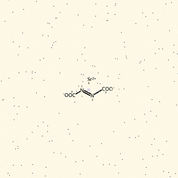 O=C([O-])/N=N/C(=O)[O-].[Sr+2]